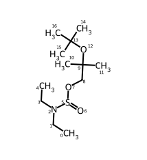 CCN(CC)S(=O)OCC(C)(C)OC(C)(C)C